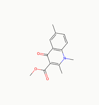 COC(=O)c1c(C)n(C)c2ccc(C)cc2c1=O